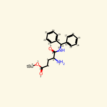 CC(C)(C)OC(=O)CCC(N)C(=O)NC(c1ccccc1)c1ccccc1